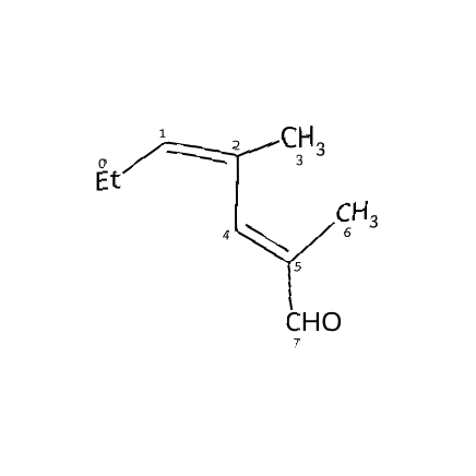 CCC=C(C)C=C(C)C=O